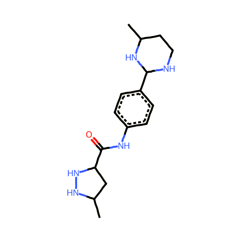 CC1CC(C(=O)Nc2ccc(C3NCCC(C)N3)cc2)NN1